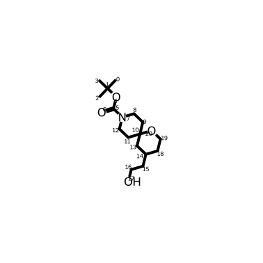 CC(C)(C)OC(=O)N1CCC2(CC1)CC(CCO)CCO2